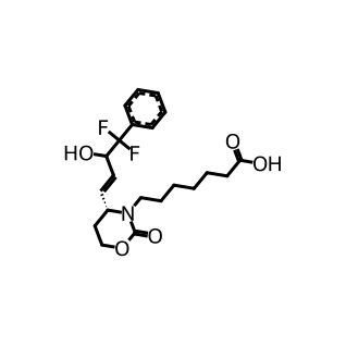 O=C(O)CCCCCCN1C(=O)OCC[C@@H]1C=CC(O)C(F)(F)c1ccccc1